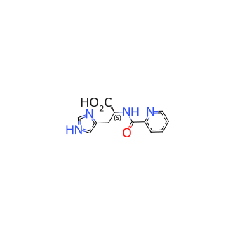 O=C(N[C@@H](Cc1c[nH]cn1)C(=O)O)c1ccccn1